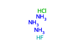 Cl.F.N.N.N